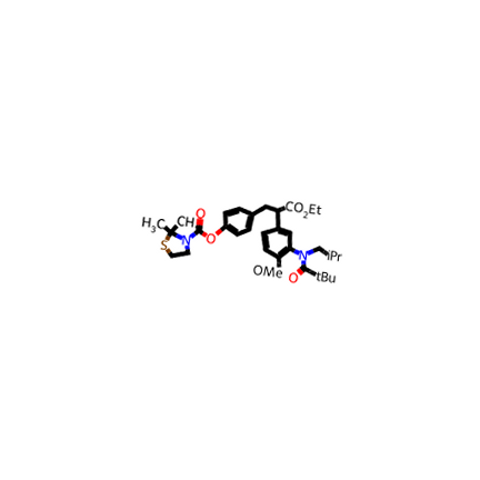 CCOC(=O)C(Cc1ccc(OC(=O)N2CCSC2(C)C)cc1)c1ccc(OC)c(N(CC(C)C)C(=O)C(C)(C)C)c1